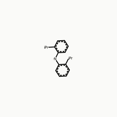 CC(C)c1ccccc1[N]c1ccccc1C(C)C